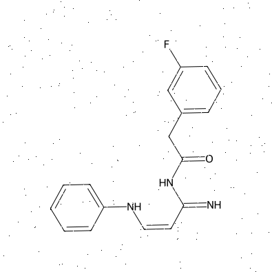 N=C(/C=C\Nc1ccccc1)NC(=O)Cc1cccc(F)c1